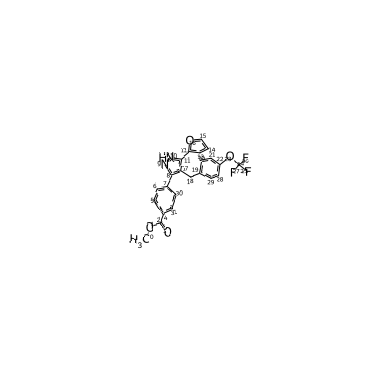 COC(=O)c1ccc(-c2n[nH]c(-c3ccco3)c2Cc2ccc(OC(F)(F)F)cc2)cc1